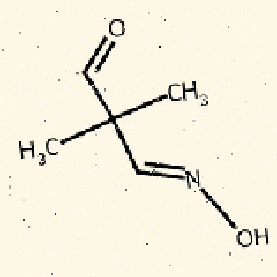 CC(C)([C]=O)C=NO